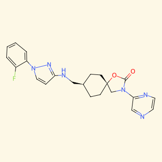 O=C1O[C@]2(CC[C@H](CNc3ccn(-c4ccccc4F)n3)CC2)CN1c1cnccn1